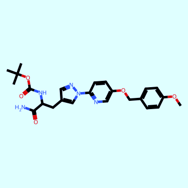 COc1ccc(COc2ccc(-n3cc(CC(NC(=O)OC(C)(C)C)C(N)=O)cn3)nc2)cc1